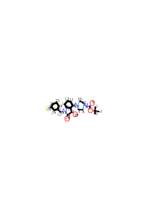 CC(C)(C)OC(=O)N1CCN(c2cccc3c2C(=O)C(=O)N3Cc2cccc(F)c2)CC1